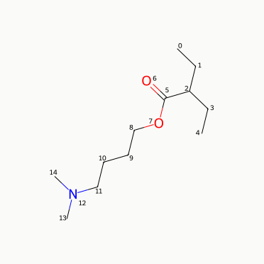 CCC(CC)C(=O)OCCCCN(C)C